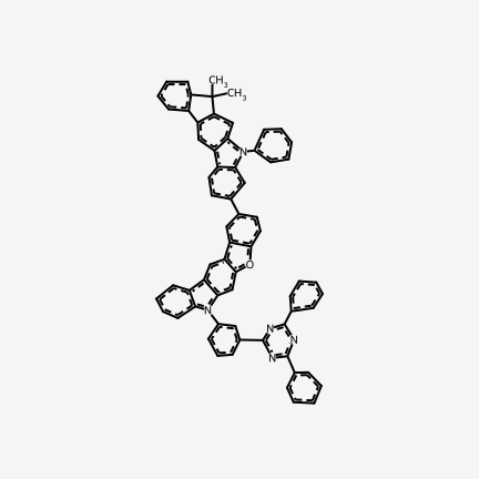 CC1(C)c2ccccc2-c2cc3c4ccc(-c5ccc6oc7cc8c(cc7c6c5)c5ccccc5n8-c5cccc(-c6nc(-c7ccccc7)nc(-c7ccccc7)n6)c5)cc4n(-c4ccccc4)c3cc21